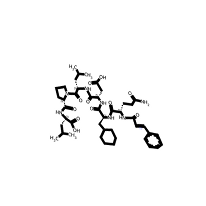 CC(C)C[C@H](NC(=O)[C@@H]1CCCN1C(=O)[C@H](CC(C)C)NC(=O)[C@H](CC(=O)O)NC(=O)[C@H](CC1CCCCC1)NC(=O)[C@H](CCC(N)=O)NC(=O)/C=C/c1ccccc1)C(=O)O